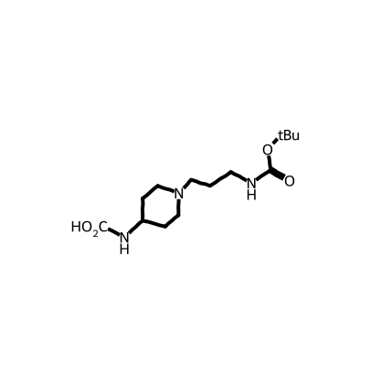 CC(C)(C)OC(=O)NCCCN1CCC(NC(=O)O)CC1